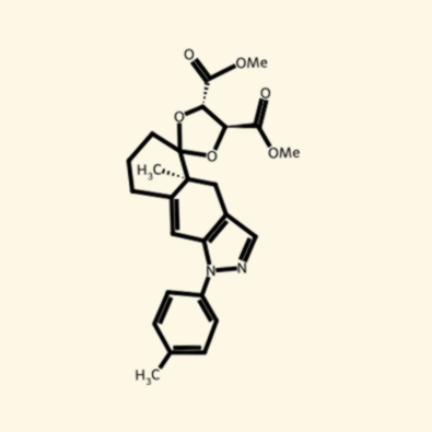 COC(=O)[C@H]1OC2(CCCC3=Cc4c(cnn4-c4ccc(C)cc4)C[C@@]32C)O[C@@H]1C(=O)OC